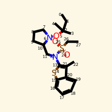 CCC(C)(C)ON1CCCC1CN(c1sc2ccccc2c1C)S(=O)(=O)CC